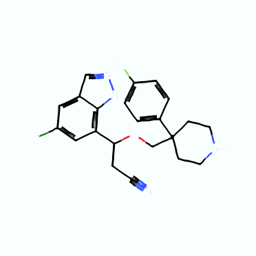 N#CCC(OCC1(c2ccc(F)cc2)CCNCC1)c1cc(Cl)cc2cn[nH]c12